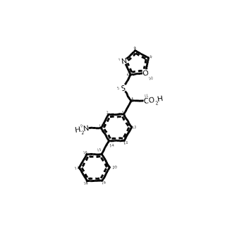 Nc1cc(C(Sc2ncco2)C(=O)O)ccc1-c1ccccc1